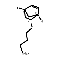 CCCCCCCCCC[C@@H]1C[C@@H]2C=C[C@H]1C2